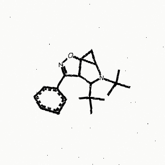 CC(C)(C)C1C2C(c3ccccc3)=NOC23CC3N1C(C)(C)C